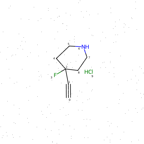 C#CC1(F)CCNCC1.Cl